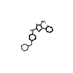 Nc1nc(Nc2ccc(CN3CCOCC3)cc2)nn1-c1ccccn1